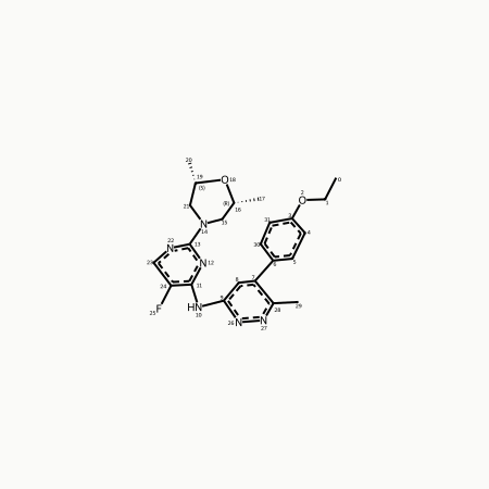 CCOc1ccc(-c2cc(Nc3nc(N4C[C@@H](C)O[C@@H](C)C4)ncc3F)nnc2C)cc1